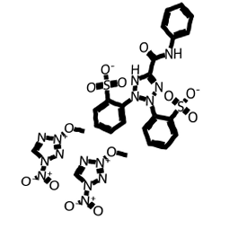 CO[n+]1ncn([N+](=O)[O-])n1.CO[n+]1ncn([N+](=O)[O-])n1.O=C(Nc1ccccc1)C1=NN(c2ccccc2S(=O)(=O)[O-])N(c2ccccc2S(=O)(=O)[O-])N1